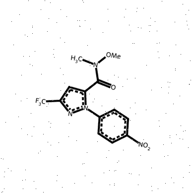 CON(C)C(=O)c1cc(C(F)(F)F)nn1-c1ccc([N+](=O)[O-])cc1